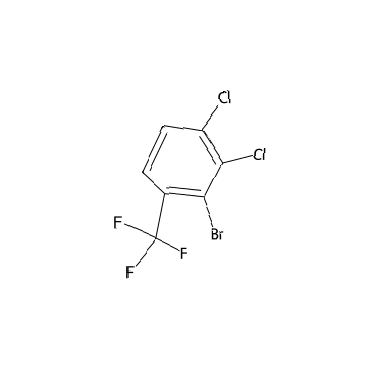 FC(F)(F)c1ccc(Cl)c(Cl)c1Br